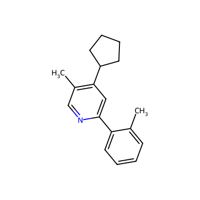 Cc1ccccc1-c1cc(C2CCCC2)c(C)cn1